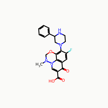 CN1COc2c(N3CCNC(c4ccccc4)C3)c(F)cc3c(=O)c(C(=O)O)cn1c23